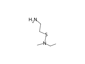 CCN(C)SCCN